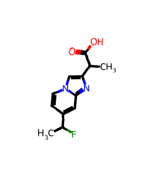 CC(F)c1ccn2cc(C(C)C(=O)O)nc2c1